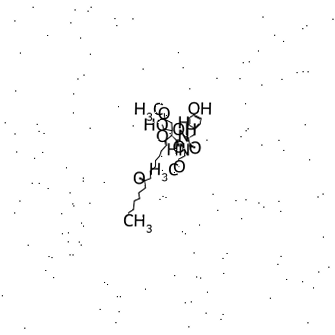 CCCCCCCC(=O)CCCCCC/C=C/[C@H](C(=O)N[C@@H](Cc1ccc(O)cc1)C(=O)NCCOC)[C@@](O)(CCOC)C(=O)O